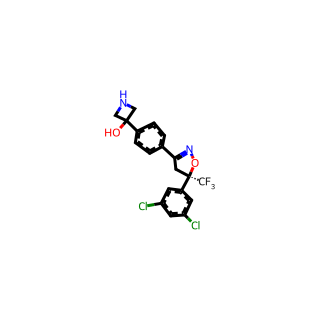 OC1(c2ccc(C3=NO[C@](c4cc(Cl)cc(Cl)c4)(C(F)(F)F)C3)cc2)CNC1